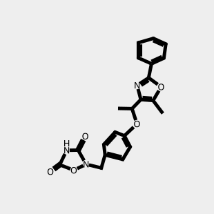 Cc1oc(-c2ccccc2)nc1C(C)Oc1ccc(Cn2oc(=O)[nH]c2=O)cc1